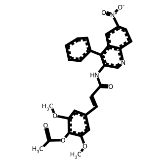 COc1cc(C=CC(=O)Nc2cnc3ccc([N+](=O)[O-])cc3c2-c2ccccc2)cc(OC)c1OC(C)=O